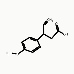 C=CC(CC(=O)O)c1ccc(OC)cc1